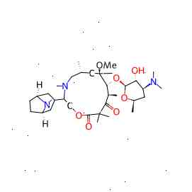 CO[C@]1(C)C[C@@H](C)CN(C)C(C2C[C@H]3CC[C@@H](C2)N3C)COC(=O)C(C)(C)C(=O)[C@H](C)[C@H]1O[C@@H]1O[C@H](C)C[C@H](N(C)C)[C@H]1O